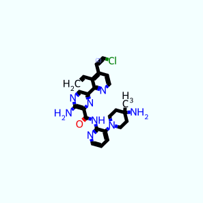 C=Cc1c(/C=C\Cl)ccnc1-c1cnc(N)c(C(=O)Nc2ncccc2N2CCC(C)(N)CC2)n1